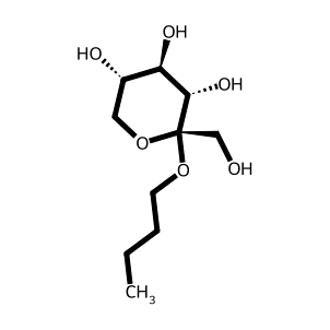 CCCCO[C@]1(CO)OC[C@H](O)[C@@H](O)[C@@H]1O